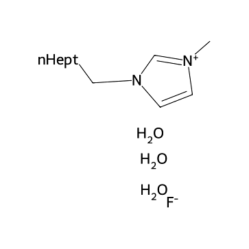 CCCCCCCCn1cc[n+](C)c1.O.O.O.[F-]